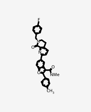 CNC(=O)c1c(-c2ccc(C)cc2)oc2ccc(-c3ccc4c(n3)C(=O)N(Cc3ccc(F)cc3)CC4)cc12